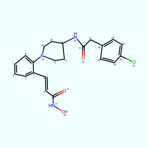 O=C(C=Cc1ccccc1N1CCC(NC(=O)Cc2ccc(Cl)cc2)CC1)NO